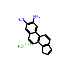 Cl.Cl.Nc1cc2ccc3c4c(ccc3c2cc1N)C=CC4